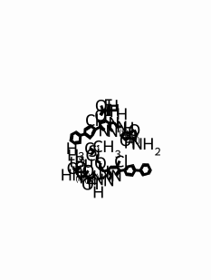 CC(C)(C)OC(=O)N[C@@H]1CO[C@H]2[C@@H]1OC[C@@H]2Nc1nc2nc(-c3ccc(-c4ccccc4)cc3)c(Cl)cc2n1COCC[Si](C)(C)C.N[C@@H]1CO[C@H]2[C@@H]1OC[C@@H]2Nc1nc2nc(-c3ccc(-c4ccccc4)cc3)c(Cl)cc2[nH]1.O=C(O)C(F)(F)F